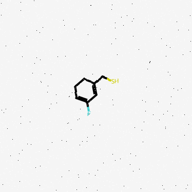 FC1=CCCC(CS)=C1